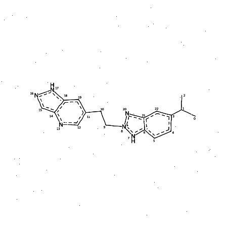 CC(C)c1ccc2[nH][n+](CCc3cnc4cn[nH]c4c3)nc2c1